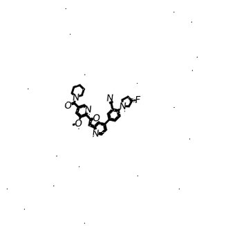 COc1cc(C(=O)N2CCCCC2)cnc1-c1cc2nccc(-c3ccc(N4CC[C@@H](F)C4)c(C#N)c3)c2o1